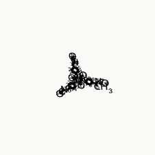 CC(N=C=O)c1ccc(-n2c(=O)n(-c3ccc(CN=C=O)cc3)c(=O)n(-c3ccc(CN=C=O)cc3)c2=O)cc1